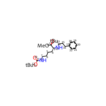 COC(=O)[C@H](CCCCNC(=O)OC(C)(C)C)N[C@@H](CCc1ccccc1)C(C)(C)C